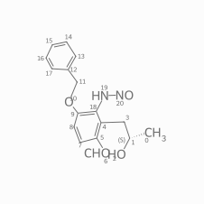 C[C@H](O)Cc1c(C=O)ccc(OCc2ccccc2)c1NN=O